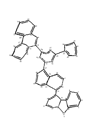 C1=CC2Oc3ccccc3C2C(c2cccc3c(-c4nc(-c5ccccc5)nc(-c5cc6ccccc6c6ccccc56)n4)cccc23)=C1